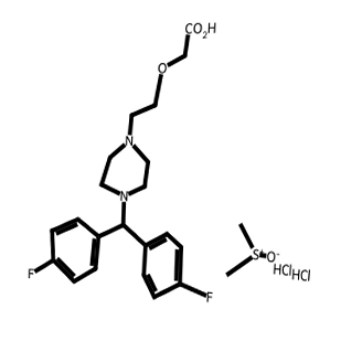 C[S+](C)[O-].Cl.Cl.O=C(O)COCCN1CCN(C(c2ccc(F)cc2)c2ccc(F)cc2)CC1